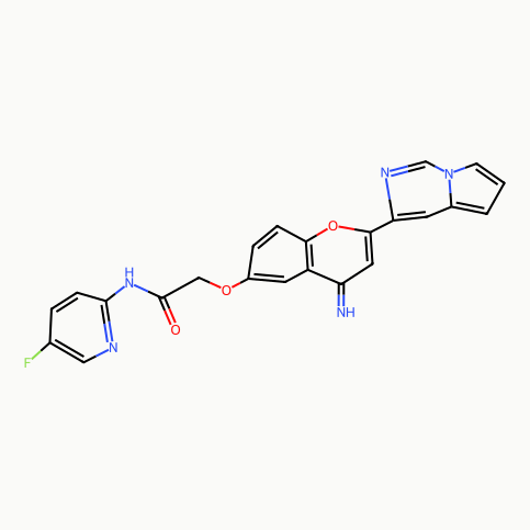 N=c1cc(-c2cc3cccn3cn2)oc2ccc(OCC(=O)Nc3ccc(F)cn3)cc12